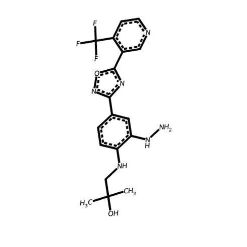 CC(C)(O)CNc1ccc(-c2noc(-c3cnccc3C(F)(F)F)n2)cc1NN